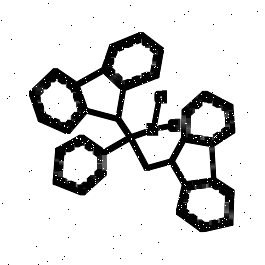 [Cl][Zr]([Cl])[C](CC1c2ccccc2-c2ccccc21)(c1ccccc1)C1c2ccccc2-c2ccccc21